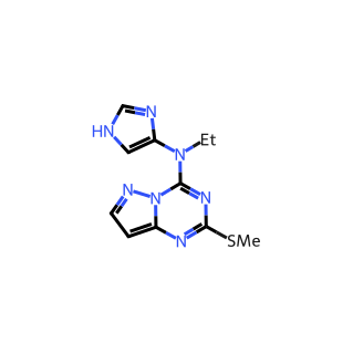 CCN(c1c[nH]cn1)c1nc(SC)nc2ccnn12